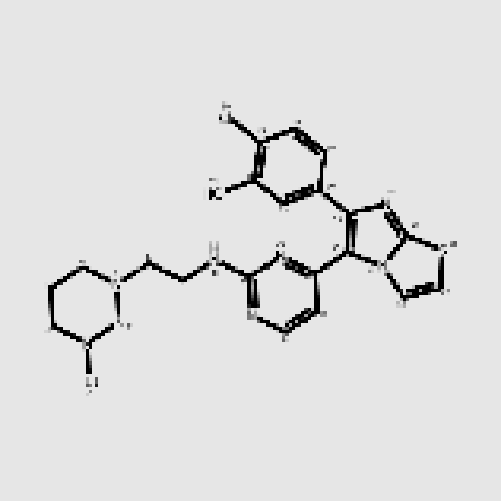 CCN1CCCN(CCNc2nccc(-c3c(-c4ccc(Cl)c(O)c4)nc4sccn34)n2)S1